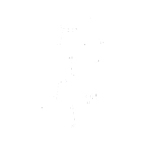 CC1=CCC(/C=C/C(C)C(C)O)C1(C)C